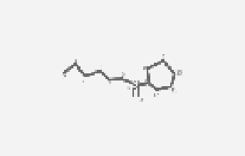 CCCCCC[SiH2]C1CCCCC1